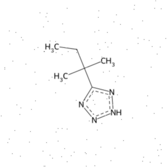 CCC(C)(C)c1nn[nH]n1